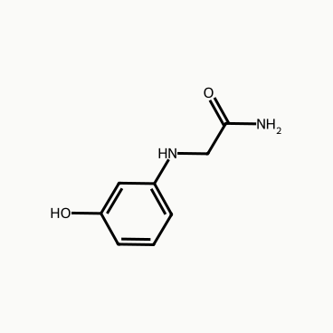 NC(=O)CNc1cccc(O)c1